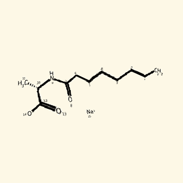 CCCCCCCC(=O)N[C@@H](C)C(=O)[O-].[Na+]